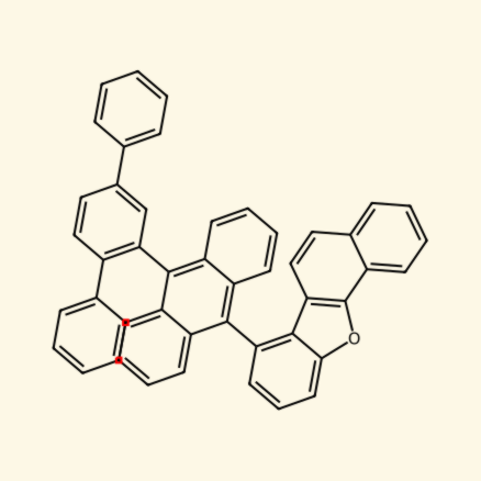 c1ccc(-c2ccc(-c3ccccc3)c(-c3c4ccccc4c(-c4cccc5oc6c7ccccc7ccc6c45)c4ccccc34)c2)cc1